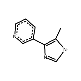 CC1=C(c2cccnc2)N=C[N]1